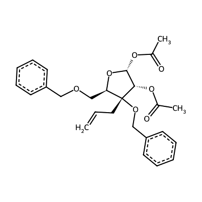 C=CC[C@@]1(OCc2ccccc2)[C@@H](COCc2ccccc2)O[C@H](OC(C)=O)[C@@H]1OC(C)=O